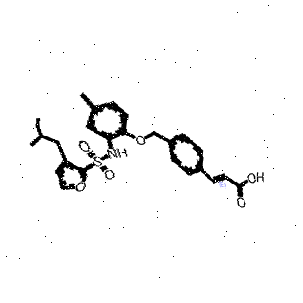 Cc1ccc(OCc2ccc(/C=C/C(=O)O)cc2)c(NS(=O)(=O)c2occc2CC(C)C)c1